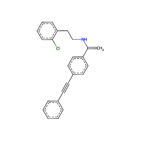 C=C(NCCc1ccccc1Cl)c1ccc(C#Cc2ccccc2)cc1